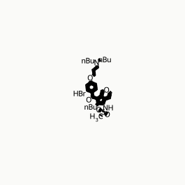 Br.CCCCc1c(NS(C)(=O)=O)c2ccocc-2c1C(=O)c1ccc(OCCCN(CCCC)CCCC)cc1